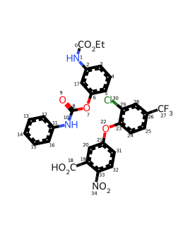 CCOC(=O)Nc1cccc(OC(=O)Nc2ccccc2)c1.O=C(O)c1cc(Oc2ccc(C(F)(F)F)cc2Cl)ccc1[N+](=O)[O-]